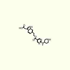 CN(c1ncc(C(=O)OCCC2=CC3NC=C(CC(=O)O)C3C=C2)cn1)C1CCNCC1